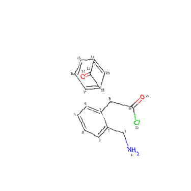 NCc1ccccc1CC(=O)Cl.O=C1c2cccc1c2